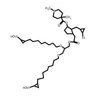 CCCCCCCCC1CC1CCCCCCCCOCC(COC(=O)CC1CCC(OC(=O)C2(C)CCN(C)CC2)C1CC1CC1CC)OCCCCCCCCC1CC1CCCCCCCC